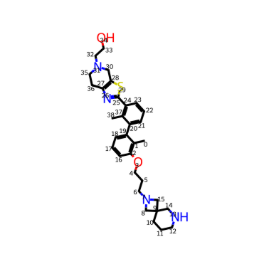 Cc1c(OCCCN2CC3(CCCNC3)C2)cccc1-c1cccc(-c2nc3c(s2)CN(CCO)CC3)c1C